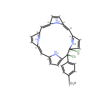 O=S(=O)(O)c1ccc(C2(Cl)c3ccc([nH]3)C=C3C=CC(=N3)C=c3ccc([nH]3)=CC3=NC2(Cl)C=C3)cc1